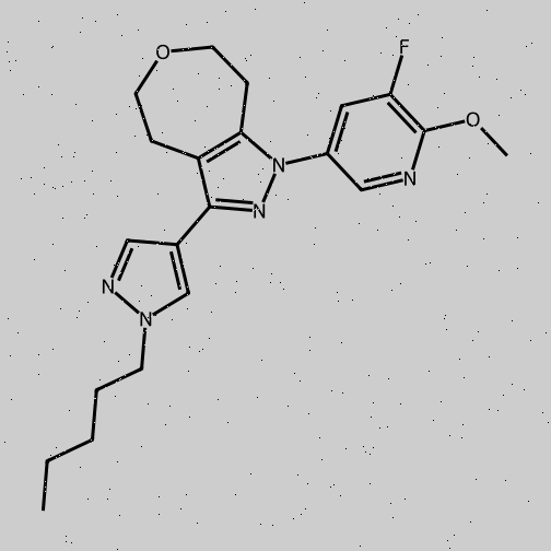 CCCCCn1cc(-c2nn(-c3cnc(OC)c(F)c3)c3c2CCOCC3)cn1